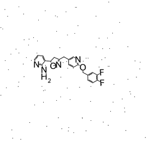 Nc1ncccc1C1CC(Cc2ccc(OCc3ccc(F)c(F)c3)nc2)=NO1